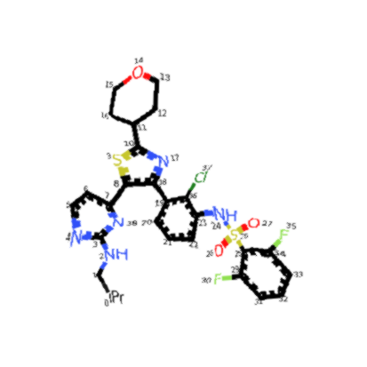 CC(C)CNc1nccc(-c2sc(C3CCOCC3)nc2-c2cccc(NS(=O)(=O)c3c(F)cccc3F)c2Cl)n1